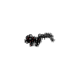 CO[C@H]1C(=O)[C@]2(C)[C@@H](OC)C[C@H]3OC[C@@]3(OC(C)=O)[C@H]2[C@H](OC(=O)c2ccccc2)[C@]2(O)C[C@H](OC(=O)[C@H](OC(=O)CNC(=O)CO[C@H]3CC[C@@]4(C)C(=CCC5C4CC[C@@]4(C)C5CC[C@@H]4[C@H](C)CCCC(C)C)C3)[C@@H](NC(=O)OC(C)(C)C)c3ccccc3)C(C)=C1C2(C)C